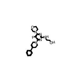 OCCNc1nc(N2CC=C(c3ccccc3)CC2)c(F)c(N2CCOCC2)n1